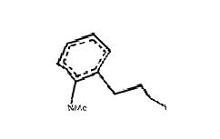 CNc1ccccc1CCI